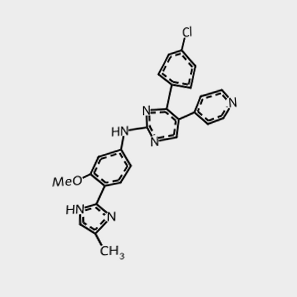 COc1cc(Nc2ncc(-c3ccncc3)c(-c3ccc(Cl)cc3)n2)ccc1-c1nc(C)c[nH]1